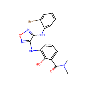 CN(C)C(=O)c1cccc(Nc2nonc2Nc2ccccc2Br)c1O